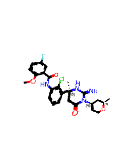 COc1ccc(F)cc1C(=O)Nc1cccc([C@]2(C)CC(=O)N([C@@H]3CCO[C@H](C)C3)C(=N)N2)c1Cl